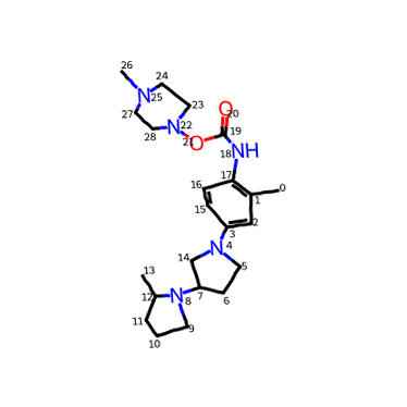 Cc1cc(N2CCC(N3CCCC3C)C2)ccc1NC(=O)ON1CCN(C)CC1